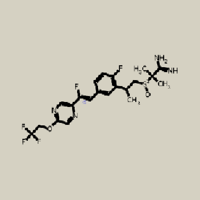 CC(C[S+]([O-])C(C)(C)C(=N)N)c1cc(/C=C(\F)c2cnc(OCC(F)(F)F)cn2)ccc1F